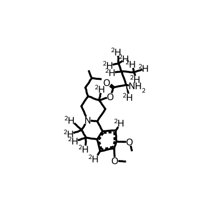 [2H]c1c(OC)c(OC)c([2H])c2c1C1CC([2H])(OC(=O)[C@@]([2H])(N)C([2H])(C([2H])([2H])[2H])C([2H])([2H])[2H])C(CC(C)C)CN1C([2H])([2H])C2([2H])[2H]